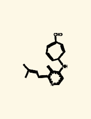 C=c1c(NC2C=CC=C(C=O)C=C2)ccn/c1=C/C=C(C)C